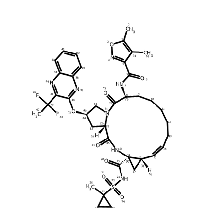 Cc1onc(C(=O)N[C@H]2CCCCCC=C[C@@H]3C[C@@]3(C(=O)NS(=O)(=O)C3(C)CC3)NC(=O)[C@@H]3C[C@@H](Oc4nc5ccccc5nc4C(C)(F)F)CN3C2=O)c1C